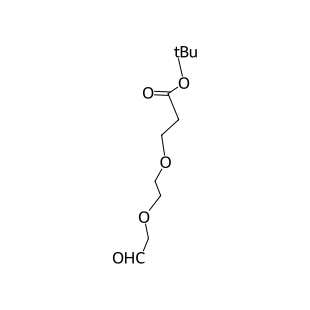 CC(C)(C)OC(=O)CCOCCOCC=O